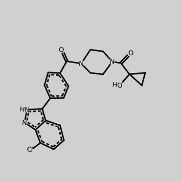 O=C(c1ccc(-c2[nH]nc3c(Cl)cccc23)cc1)N1CCN(C(=O)C2(O)CC2)CC1